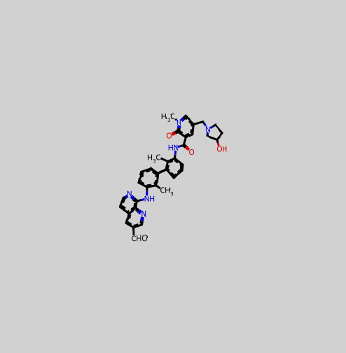 Cc1c(NC(=O)c2cc(CN3CCC(O)C3)cn(C)c2=O)cccc1-c1cccc(Nc2nccc3cc(C=O)cnc23)c1C